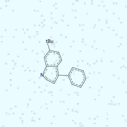 CC(C)(C)c1ccc2c(-c3ccccc3)ccnc2c1